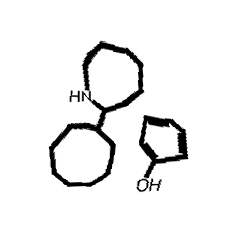 C1CCCC(C2CCCCCCN2)CCC1.Oc1ccccc1